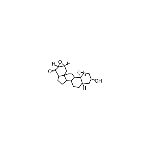 C[C@]12CC[C@@H](O)C[C@@H]1CCC1C3CCC4C(=O)[C@@H]5O[C@@H]5CC43CCC12